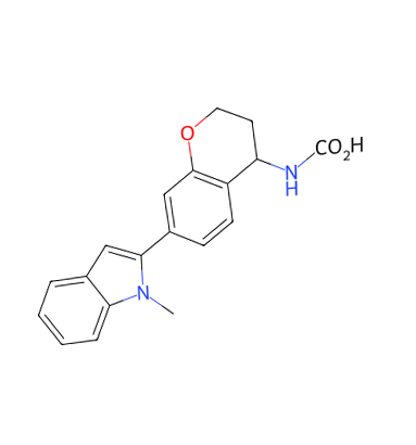 Cn1c(-c2ccc3c(c2)OCCC3NC(=O)O)cc2ccccc21